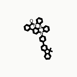 CC1(C)c2ccccc2-c2ccc(-c3ccc(N4c5ccccc5B5c6ccccc6-n6c(=O)c7ccccc7c7ccc4c5c76)cc3)cc21